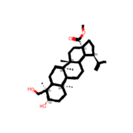 C=C(C)[C@@H]1CC[C@]2(C(=O)OC)CC[C@]3(C)C(CCC4[C@@]5(C)CC[C@H](O)[C@@](C)(CO)C5CC[C@]43C)C12